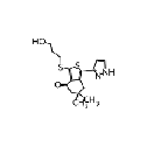 CC1(C)CC(=O)c2c(SCCCO)sc(-c3cc[nH]n3)c2C1